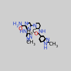 Cc1nc2cc(C(=O)N[C@@H]3CCCN(c4cnc(C(N)=O)c(Nc5cnn(C)c5)n4)[C@@H]3C)ccc2[nH]1